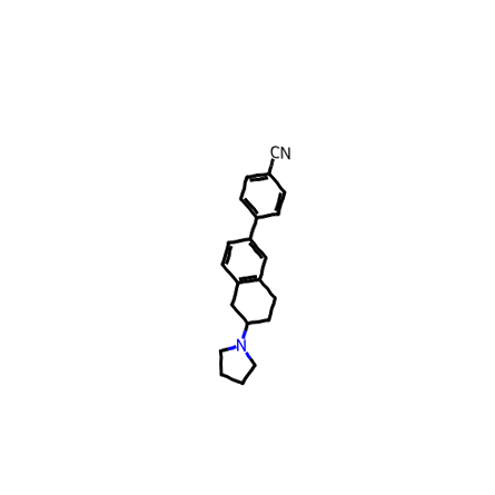 N#Cc1ccc(-c2ccc3c(c2)CCC(N2CCCC2)C3)cc1